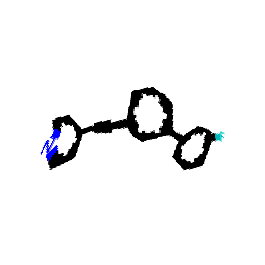 Fc1cccc(-c2cccc(C#Cc3ccncc3)c2)c1